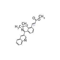 COC(=O)/C=C/c1cccc2c1CC(C)(C)N=C2c1cnc2ccccc2c1